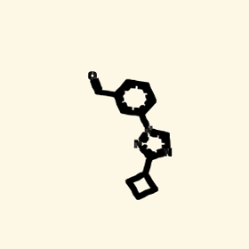 O=Cc1cccc(-n2cnc(C3CCC3)n2)c1